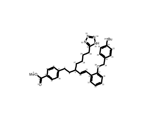 COC(=O)c1ccc(CCC(C=Cc2ccccc2OCc2ccc(C(C)(C)C)cc2)CCCCc2nnn[nH]2)cc1